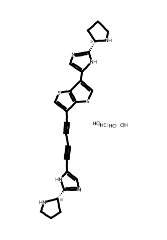 C(C#Cc1csc2c(-c3cnc([C@@H]4CCCN4)[nH]3)csc12)#Cc1cnc([C@@H]2CCCN2)[nH]1.Cl.Cl.Cl.Cl